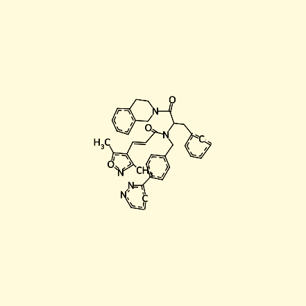 Cc1noc(C)c1C=CC(=O)N(Cc1ccc(-c2cccnn2)cc1)C(Cc1ccccc1)C(=O)N1CCc2ccccc2C1